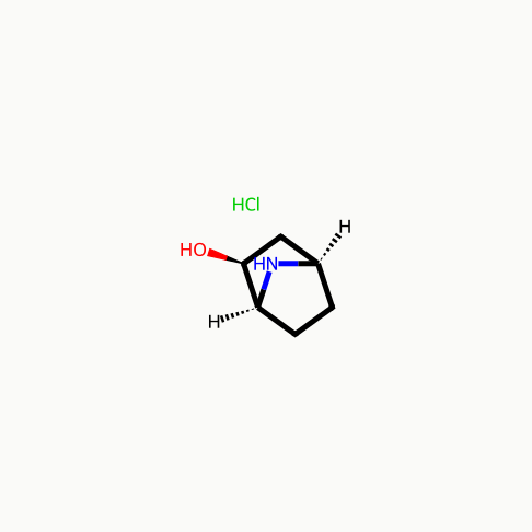 Cl.O[C@H]1C[C@H]2CC[C@@H]1N2